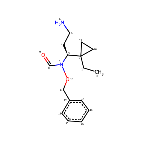 CCC1([C@H](CCN)N(C=O)OCc2ccccc2)CC1